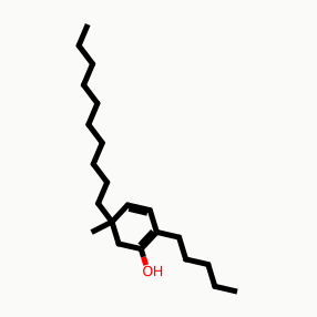 CCCCCCCCCCC1(C)C=CC(CCCCC)=C(O)C1